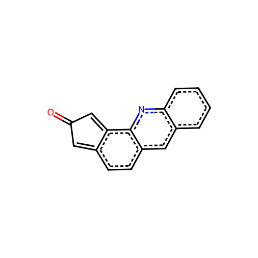 O=C1C=c2ccc3cc4ccccc4nc3c2=C1